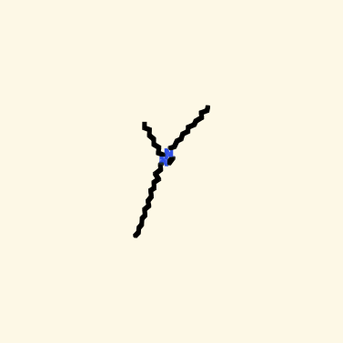 CCCCCCCCCCCCCCCCCN1C=CN(CCCCCCCCCCCCC)C1CCCCCCCC